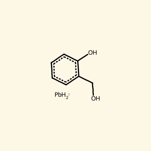 OCc1ccccc1O.[PbH2]